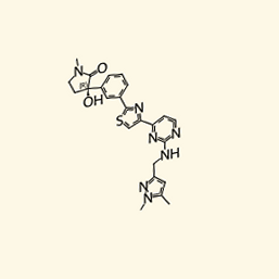 Cc1cc(CNc2nccc(-c3csc(-c4cccc([C@]5(O)CCN(C)C5=O)c4)n3)n2)nn1C